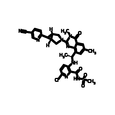 Cc1cc([C@@H](C)Nc2ccc(Cl)nc2C(=O)NS(C)(=O)=O)c2nc(N3C[C@@H]4C(c5ccc(C#N)cn5)[C@@H]4C3)n(C)c(=O)c2c1